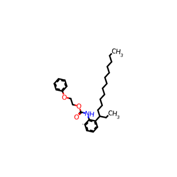 CCCCCCCCCCCCC(CC)c1ccc[c]c1NC(=O)OCCOc1ccccc1